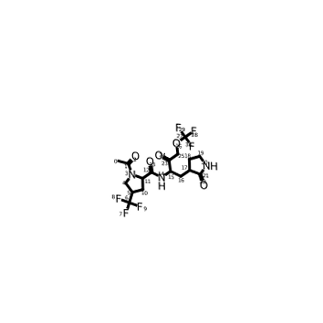 CC(=O)N1CC(C(F)(F)F)CC1C(=O)NC(CC1CCNC1=O)C(=O)COC(F)(F)F